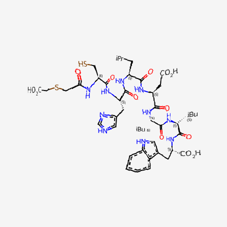 CC[C@H](C)[C@H](NC(=O)[C@H](CC(=O)O)NC(=O)[C@H](CC(C)C)NC(=O)[C@H](Cc1c[nH]cn1)NC(=O)[C@H](CS)NC(=O)CSCC(=O)O)C(=O)N[C@H](C(=O)N[C@@H](Cc1c[nH]c2ccccc12)C(=O)O)[C@@H](C)CC